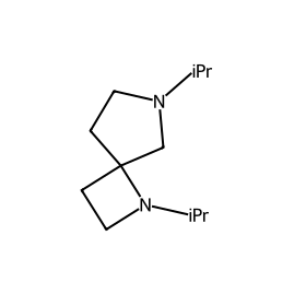 CC(C)N1CCC2(CCN2C(C)C)C1